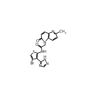 Cc1ccc2c(ccc(=O)n2CC(=O)Nc2scc(Br)c2-c2ncn[nH]2)n1